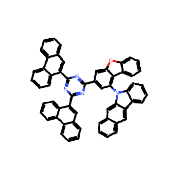 c1ccc2cc3c(cc2c1)c1ccccc1n3-c1cc(-c2nc(-c3cc4ccccc4c4ccccc34)nc(-c3cc4ccccc4c4ccccc34)n2)cc2oc3ccccc3c12